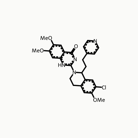 COc1cc2c(cc1Cl)C(CCc1ccncc1)N(c1nc(=O)c3cc(OC)c(OC)cc3[nH]1)CC2